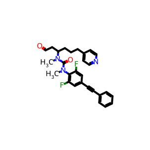 CN(C(=O)N(C)C(CC=O)CCCc1ccncc1)c1c(F)cc(C#Cc2ccccc2)cc1F